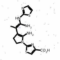 C/C(C1=C(N)N(c2nc(C(=O)O)cs2)CC1)=C(/N)Nc1nccs1